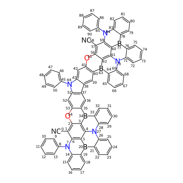 N#Cc1c2c3c4c5c1N(c1ccccc1)c1ccccc1B5c1ccccc1N4c1ccccc1B3c1cc3c4cc5c(cc4n(-c4ccccc4)c3cc1O2)Oc1c(C#N)c2c3c4c1B5c1ccccc1N4c1ccccc1B3c1ccccc1N2c1ccccc1